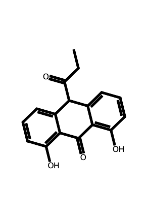 CCC(=O)C1c2cccc(O)c2C(=O)c2c(O)cccc21